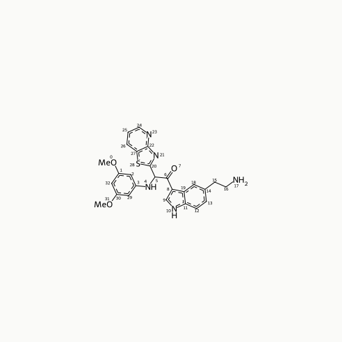 COc1cc(NC(C(=O)c2c[nH]c3ccc(CCN)cc23)c2nc3ncccc3s2)cc(OC)c1